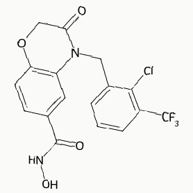 O=C(NO)c1ccc2c(c1)N(Cc1cccc(C(F)(F)F)c1Cl)C(=O)CO2